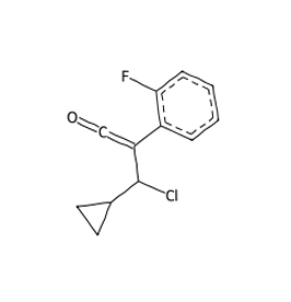 O=C=C(c1ccccc1F)C(Cl)C1CC1